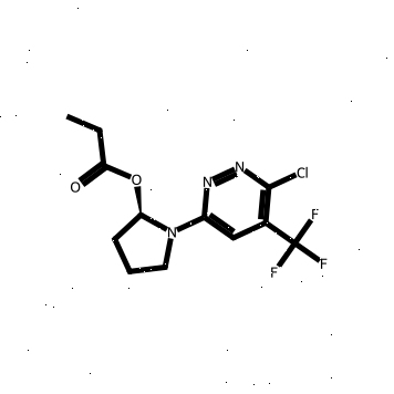 CCC(=O)O[C@@H]1CCCN1c1cc(C(F)(F)F)c(Cl)nn1